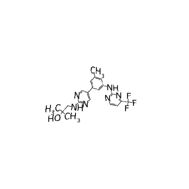 Cc1cc(Nc2nccc(C(F)(F)F)n2)cc(-c2cnc(NCC(C)(C)O)nc2)c1